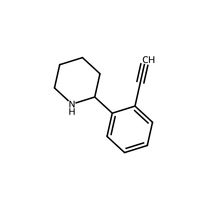 C#Cc1ccccc1C1CCCCN1